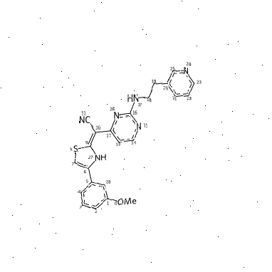 COc1cccc(C2=CS/C(=C(\C#N)c3ccnc(NCCc4cccnc4)n3)N2)c1